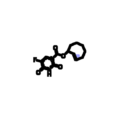 O=C(OC1/C=C/CCCCC1)n1cc(F)c(=O)[nH]c1=O